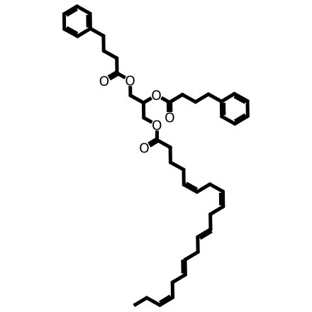 CC/C=C\CC=CCC=CC/C=C\C/C=C\CCCC(=O)OCC(COC(=O)CCCc1ccccc1)OC(=O)CCCc1ccccc1